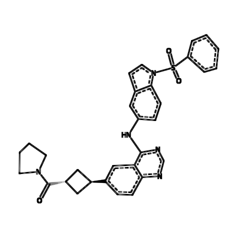 O=C([C@H]1C[C@H](c2ccc3ncnc(Nc4ccc5c(ccn5S(=O)(=O)c5ccccc5)c4)c3c2)C1)N1CCCC1